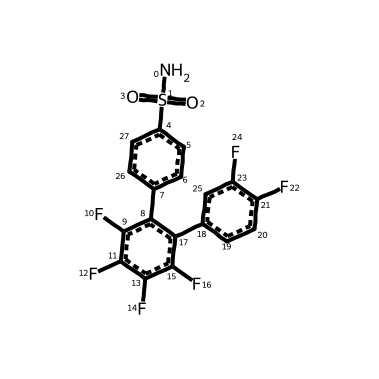 NS(=O)(=O)c1ccc(-c2c(F)c(F)c(F)c(F)c2-c2ccc(F)c(F)c2)cc1